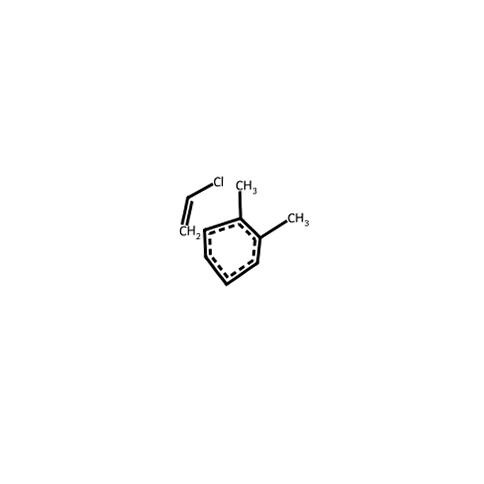 C=CCl.Cc1ccccc1C